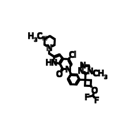 C[C@H]1CCCN(Cc2cc3c(Cl)cn(-c4cccc(C5(c6nncn6C)CC(OC(F)F)C5)c4)c(=O)c3[nH]2)C1